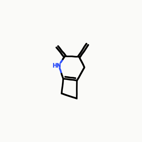 C=C1CC2=C(CC2)NC1=C